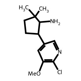 COc1cc(C2CCC(C)(C)C2N)cnc1Cl